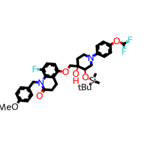 COc1ccc(CN2C(=O)CCc3c(OC[C@]4(O)CCN(c5ccc(OC(F)F)cc5)C[C@H]4O[Si](C)(C)C(C)(C)C)ccc(F)c32)cc1